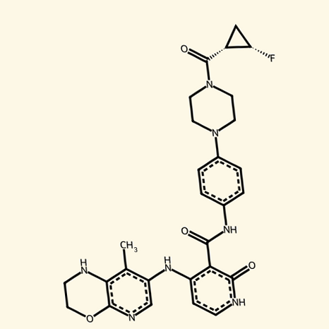 Cc1c(Nc2cc[nH]c(=O)c2C(=O)Nc2ccc(N3CCN(C(=O)[C@@H]4C[C@@H]4F)CC3)cc2)cnc2c1NCCO2